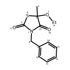 CCOC1(C)SC(=O)N(Cc2ccccc2)C1=O